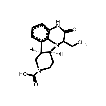 CCC1C(=O)Nc2cccc3c2N1[C@H]1CCN(C(=O)O)C[C@@H]31